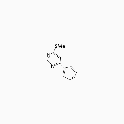 CSc1cc(-c2ccccc2)ncn1